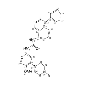 COc1ccc(NC(=O)Nc2cccc3c(-c4ccccc4)cccc23)cc1N1CCN(C)CC1